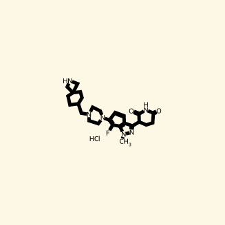 Cl.Cn1nc(C2CCC(=O)NC2=O)c2ccc(N3CCN(CC4CCC5(CC4)CNC5)CC3)c(F)c21